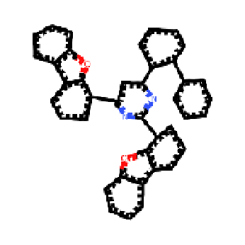 c1ccc(-c2ccccc2-c2cc(-c3cccc4c3oc3ccccc34)nc(-c3cccc4c3oc3ccccc34)n2)cc1